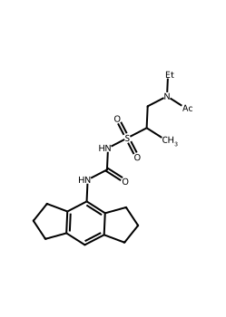 CCN(CC(C)S(=O)(=O)NC(=O)Nc1c2c(cc3c1CCC3)CCC2)C(C)=O